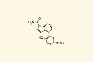 COc1ccc(O)c(-c2cccc3c2ccn3C(N)=O)c1